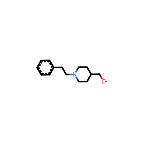 [O]CC1CCN(CCc2ccccc2)CC1